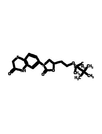 CC(C)(C)[Si](C)(C)OCCC1CN(c2ccc3c(c2)NC(=O)CS3)C(=O)O1